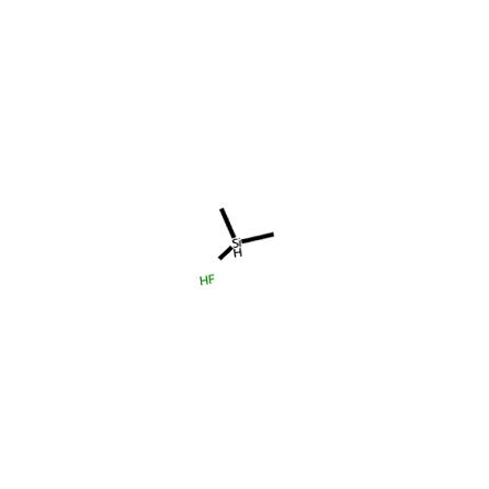 C[SiH](C)C.F